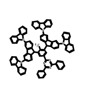 FC(F)(F)c1c(C2c3ccc(-n4c5ccccc5c5ccccc54)cc3-c3cc(-n4c5ccccc5c5ccccc54)ccc32)cc(-c2nc(-c3ccccc3)nc(-c3ccccc3)n2)cc1C1c2ccc(-n3c4ccccc4c4ccccc43)cc2-c2cc(-n3c4ccccc4c4ccccc43)ccc21